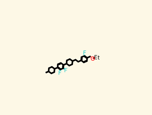 CCOCc1ccc(CCC2CCC(c3ccc(C4CCC(C)CC4)c(F)c3F)CC2)cc1F